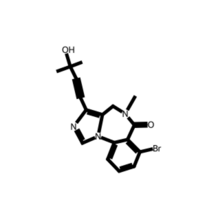 CN1Cc2c(C#CC(C)(C)O)ncn2-c2cccc(Br)c2C1=O